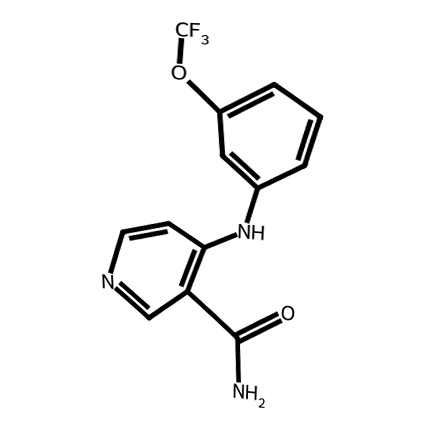 NC(=O)c1cnccc1Nc1cccc(OC(F)(F)F)c1